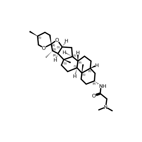 C[C@H]1CC[C@@]2(OC1)O[C@H]1C[C@H]3[C@@H]4CC[C@@H]5C[C@H](NC(=O)CN(C)C)CC[C@]5(C)[C@H]4CC[C@]3(C)[C@H]1[C@@H]2C